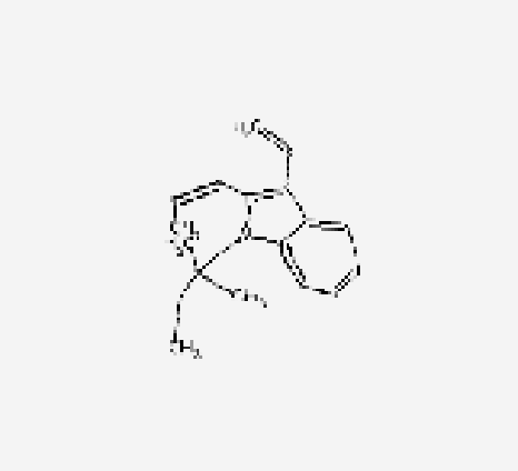 C=Cc1c(/C=C\C)n(C(C)(C)CC)c2ccccc12